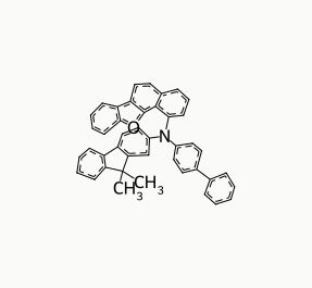 CC1(C)c2ccccc2-c2ccc(N(c3ccc(-c4ccccc4)cc3)c3cccc4ccc5c6ccccc6oc5c34)cc21